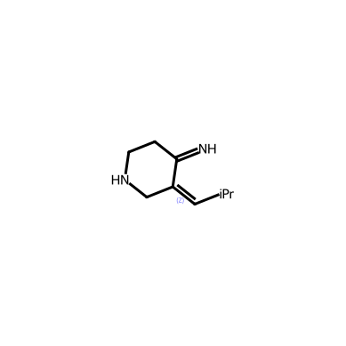 CC(C)/C=C1/CNCCC1=N